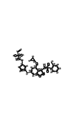 C=CS(=O)(=O)NCc1cnn(Cc2cc(OC3CC3)c3c(NS(=O)(=O)c4ccccc4C)noc3c2)c1